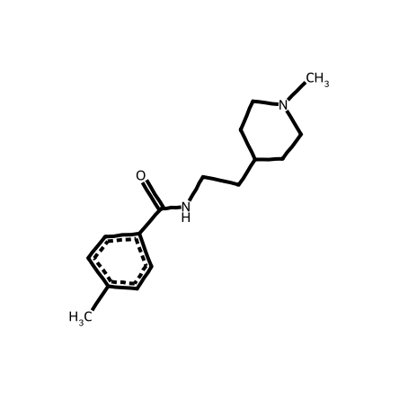 Cc1ccc(C(=O)NCCC2CCN(C)CC2)cc1